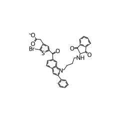 COC(=O)Cc1cc(C(=O)c2ccc3cc(-c4ccccc4)n(CCCCNC4C(=O)c5ccccc5C4=O)c3c2)sc1Br